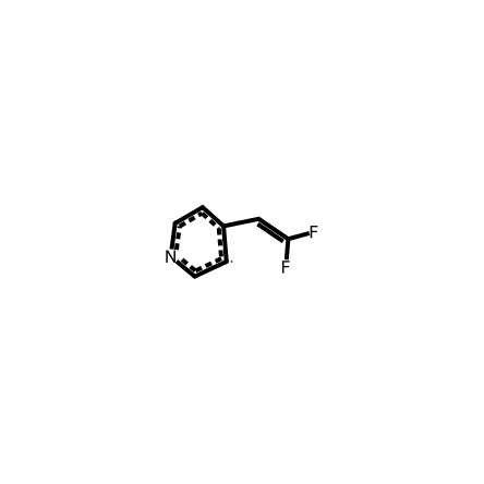 FC(F)=Cc1[c]cncc1